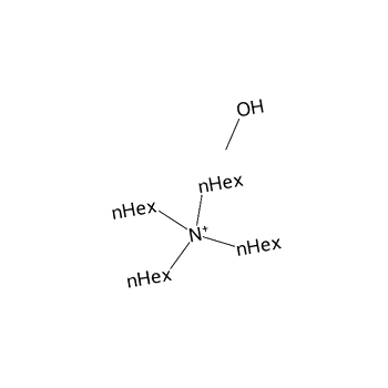 CCCCCC[N+](CCCCCC)(CCCCCC)CCCCCC.CO